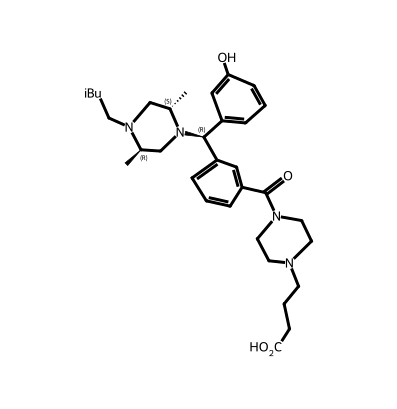 CCC(C)CN1C[C@H](C)N([C@@H](c2cccc(O)c2)c2cccc(C(=O)N3CCN(CCCC(=O)O)CC3)c2)C[C@H]1C